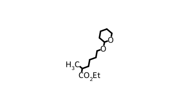 CCOC(=O)C(C)CCCCOC1CCCCO1